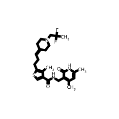 Cc1cc(C)c(CNC(=O)c2csc(CCC=C3CCN(CC(C)(F)F)CC3)c2C)c(=O)[nH]1